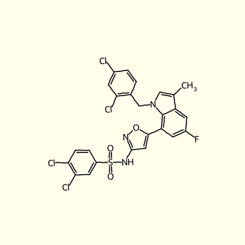 Cc1cn(Cc2ccc(Cl)cc2Cl)c2c(-c3cc(NS(=O)(=O)c4ccc(Cl)c(Cl)c4)no3)cc(F)cc12